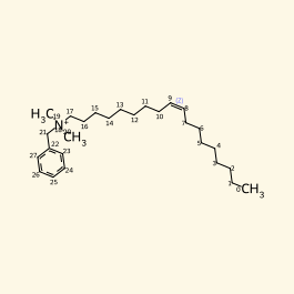 CCCCCCCC/C=C\CCCCCCCC[N+](C)(C)Cc1ccccc1